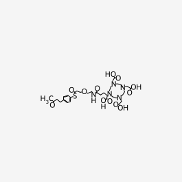 CC(=O)CCc1ccc(SC(=O)CCOCCNC(=O)CCC(C(=O)O)N2CCN(CC(=O)O)CCN(CC(=O)O)CCN(CC(=O)O)CC2)cc1